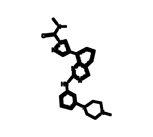 CN1CCN(c2cccc(Nc3ncc4cccc(-c5cnn(C(=O)N(C)C)c5)c4n3)c2)CC1